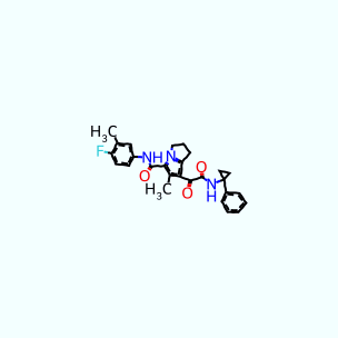 Cc1cc(NC(=O)c2c(C)c(C(=O)C(=O)NC3(c4ccccc4)CC3)c3n2CCC3)ccc1F